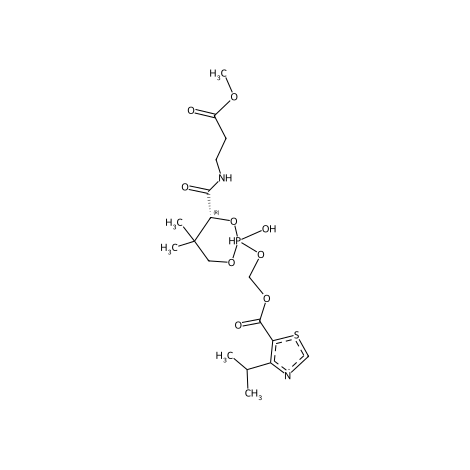 COC(=O)CCNC(=O)[C@@H]1O[PH](O)(OCOC(=O)c2scnc2C(C)C)OCC1(C)C